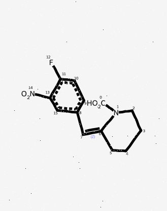 O=C(O)N1CCCC/C1=C/c1ccc(F)c([N+](=O)[O-])c1